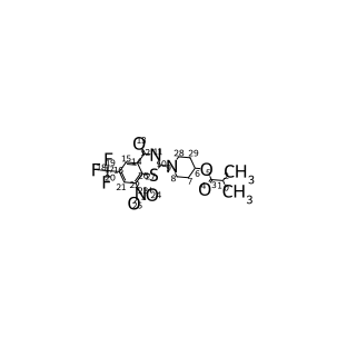 CC(C)C(=O)OC1CCN(c2nc(=O)c3cc(C(F)(F)F)cc([N+](=O)[O-])c3s2)CC1